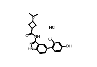 CN(C)C1CC(C(=O)Nc2n[nH]c3ccc(-c4ccc(O)cc4Cl)cc23)C1.Cl